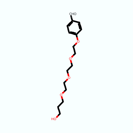 O=Cc1ccc(OCCOCCOCCOCCCO)cc1